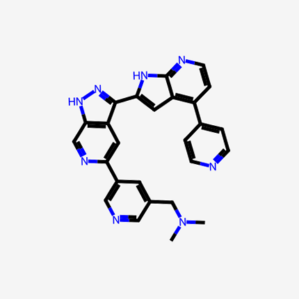 CN(C)Cc1cncc(-c2cc3c(-c4cc5c(-c6ccncc6)ccnc5[nH]4)n[nH]c3cn2)c1